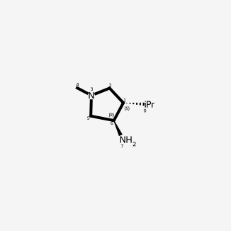 CC(C)[C@H]1CN(C)C[C@@H]1N